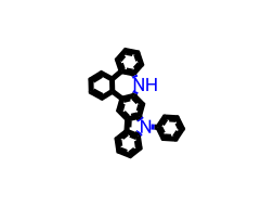 C1=CC2c3ccccc3Nc3cc4c(cc3C2C=C1)c1ccccc1n4-c1ccccc1